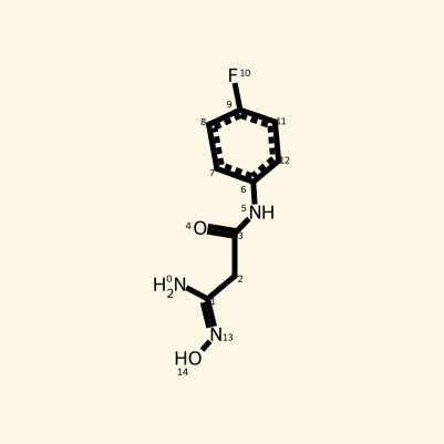 N/C(CC(=O)Nc1ccc(F)cc1)=N\O